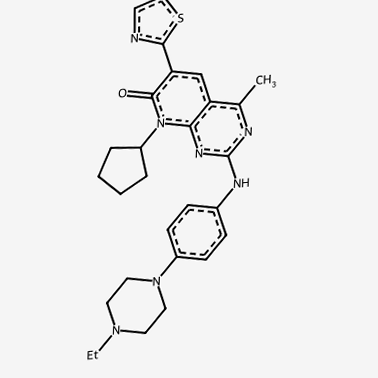 CCN1CCN(c2ccc(Nc3nc(C)c4cc(-c5nccs5)c(=O)n(C5CCCC5)c4n3)cc2)CC1